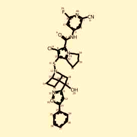 N#Cc1cc(NC(=O)c2c(Cl)c(SN3C4CCC45C3CC5(O)c3cc(-c4ccccc4)on3)c3n2CCC3)cc(F)n1